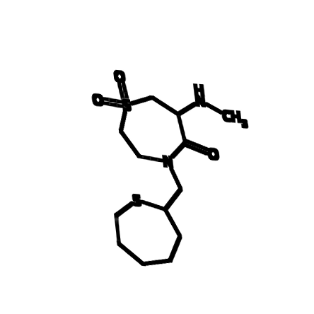 CNC1CS(=O)(=O)CCN(CC2CCCCCS2)C1=O